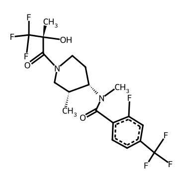 C[C@@H]1CN(C(=O)[C@@](C)(O)C(F)(F)F)CC[C@@H]1N(C)C(=O)c1ccc(C(F)(F)F)cc1F